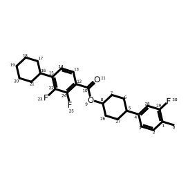 Cc1ccc(C2CCC(OC(=O)c3ccc(C4CCCCC4)c(F)c3F)CC2)cc1F